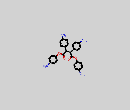 Nc1ccc(OC(=O)C(c2ccc(N)cc2)C(C(=O)Oc2ccc(N)cc2)c2ccc(N)cc2)cc1